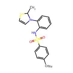 COc1ccc(S(=O)(=O)Nc2ccccc2N2C=CSC2C)cc1